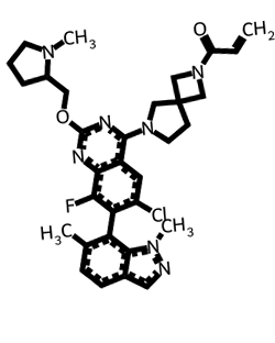 C=CC(=O)N1CC2(CCN(c3nc(OCC4CCCN4C)nc4c(F)c(-c5c(C)ccc6cnn(C)c56)c(Cl)cc34)C2)C1